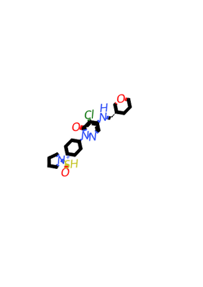 O=[SH][N+]1([C@H]2CC[C@H](n3ncc(NC[C@H]4CCCOC4)c(Cl)c3=O)CC2)CCCC1